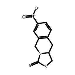 O=[N+]([O-])c1ccc2c(c1)CN1C(=S)SCC1C2